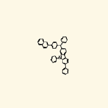 c1ccc(-c2ccc3c4ccc(C(c5ccccc5)c5ccc(-c6ccc7ccccc7c6)cc5)cc4n(-c4ccccc4)c3c2)cc1